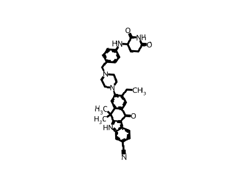 CCc1cc2c(cc1N1CCN(Cc3ccc(NC4CCC(=O)NC4=O)cc3)CC1)C(C)(C)c1[nH]c3cc(C#N)ccc3c1C2=O